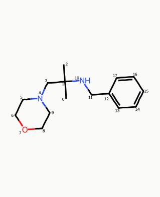 CC(C)(CN1CCOCC1)NCc1ccccc1